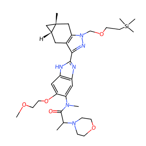 COCCOc1cc2[nH]c(-c3nn(COCC[Si](C)(C)C)c4c3C[C@@H]3C[C@]3(C)C4)nc2cc1N(C)C(=O)C(C)N1CCOCC1